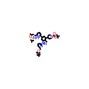 CCC[C@H](N[S@@+]([O-])C(C)(C)C)c1cccc(-c2cc(C3=CCN(C(=O)OC(C)(C)C)CC3)c3cnn(-c4cccc(CO[Si](C)(C)C(C)(C)C)n4)c3c2)n1